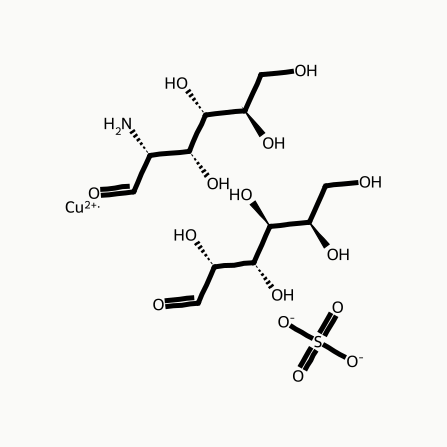 N[C@@H](C=O)[C@@H](O)[C@H](O)[C@H](O)CO.O=C[C@H](O)[C@@H](O)[C@@H](O)[C@H](O)CO.O=S(=O)([O-])[O-].[Cu+2]